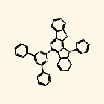 C1=Cc2c(n(-c3ccccc3)c3c2c(-c2nc(-c4ccccc4)nc(-c4ccccc4)n2)cc2c4ccccc4oc23)CC1